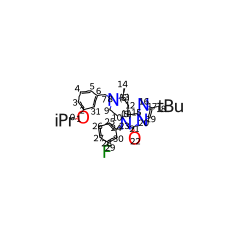 CC(C)Oc1cccc(CN2CC[C@]3(C[C@@H]2C)c2nc(C(C)(C)C)cn2C(=O)N3c2cccc(F)c2)c1